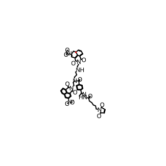 C/C(=N\NC(=O)CCCCCN1C(=O)C=CC1=O)c1ccc(C(=O)N(CCCNCCN2C(=O)C3=CC=C[C@]4(C)CC([N+](=O)[O-])=CC(=C34)C2=O)CCN2C(=O)c3cccc4cc([N+](=O)[O-])cc(c34)C2=O)cc1